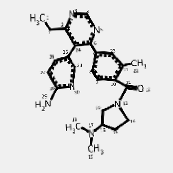 CCc1ncnc(-c2ccc(C(=O)N3CCC(N(C)C)C3)c(C)c2)c1-c1ccc(N)nc1